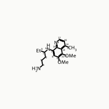 CCC(CCCN)Nc1cc(OC)c(OC)c2c(C)ccnc12